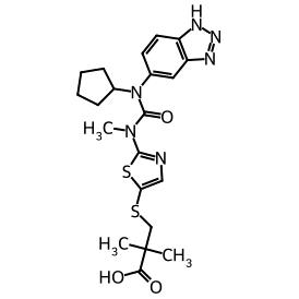 CN(C(=O)N(c1ccc2[nH]nnc2c1)C1CCCC1)c1ncc(SCC(C)(C)C(=O)O)s1